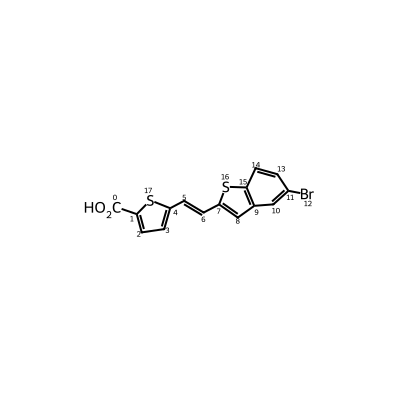 O=C(O)c1ccc(/C=C/c2cc3cc(Br)ccc3s2)s1